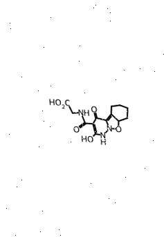 O=C(O)CNC(=O)C1=C(O)NN2OC3CCCCC3=C2C1=O